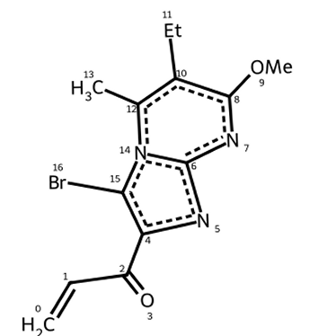 C=CC(=O)c1nc2nc(OC)c(CC)c(C)n2c1Br